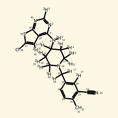 [2H]c1nc(N([2H])C2([2H])C([2H])([2H])C([2H])([2H])N(C([2H])([2H])c3ccc(C)c(C#N)c3[2H])C([2H])([2H])C2([2H])[2H])c2c([2H])c(Cl)sc2n1